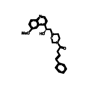 COc1ccc2nccc([C@@H](O)CN3CCN(C(=O)C/C=C/c4ccccc4)CC3)c2c1